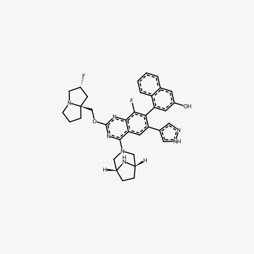 Oc1cc(-c2c(-c3cn[nH]c3)cc3c(N4C[C@H]5CC[C@@H](C4)N5)nc(OC[C@@]45CCCN4C[C@H](F)C5)nc3c2F)c2ccccc2c1